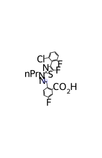 CCCN(/N=C/c1ccc(F)cc1C(=O)O)c1nc(-c2c(F)cccc2Cl)c(F)s1